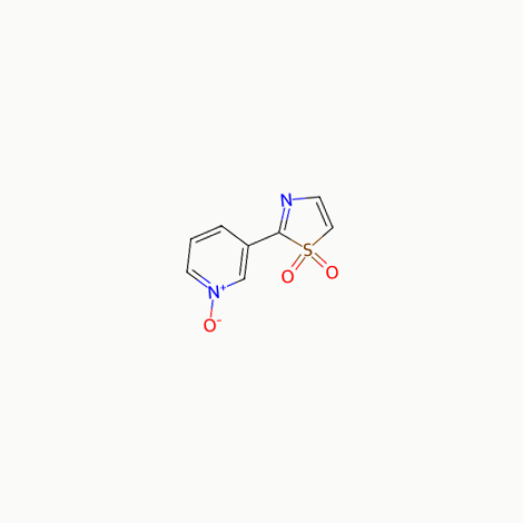 O=S1(=O)C=CN=C1c1ccc[n+]([O-])c1